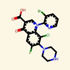 O=C(O)c1cn(-c2ncccc2Br)c2c(Cl)c(N3CCNCC3)c(F)cc2c1=O